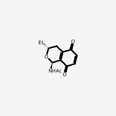 CC[C@@H]1CC2=C(C(=O)C=CC2=O)[C@@H](NC(C)=O)O1